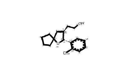 OCC[C@@H]1CC2(CCCC2)O[C@H]1c1ccccc1Cl